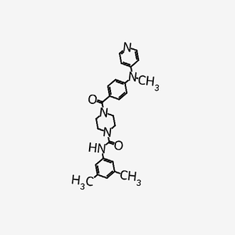 Cc1cc(C)cc(NC(=O)N2CCN(C(=O)c3ccc(N(C)c4ccncc4)cc3)CC2)c1